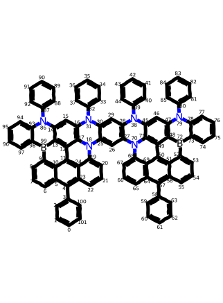 c1ccc(-c2c3cccc4c3c3c5c6c(cc7c5n(c5cccc2c35)c2cc3c(cc2n7-c2ccccc2)n(-c2ccccc2)c2cc5c7c8c9c%10c(cccc%10c(-c%10ccccc%10)c%10cccc(c%109)n3c82)B7c2ccccc2N5c2ccccc2)N(c2ccccc2)c2ccccc2B46)cc1